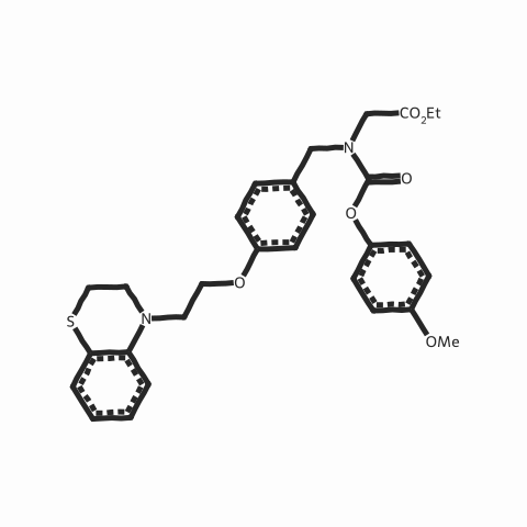 CCOC(=O)CN(Cc1ccc(OCCN2CCSc3ccccc32)cc1)C(=O)Oc1ccc(OC)cc1